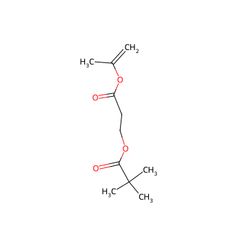 C=C(C)OC(=O)CCOC(=O)C(C)(C)C